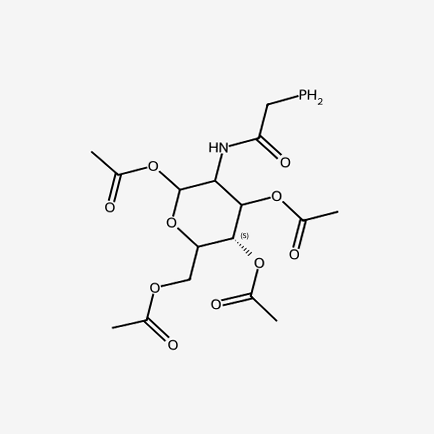 CC(=O)OCC1OC(OC(C)=O)C(NC(=O)CP)C(OC(C)=O)[C@@H]1OC(C)=O